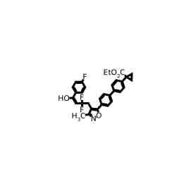 CCOC(=O)C1(c2ccc(-c3ccc(-c4onc(C)c4CC(F)(F)/C=C(/O)c4ccc(F)cc4)cc3)cc2)CC1